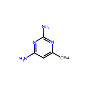 CC(C)COc1cc(N)nc(N)n1